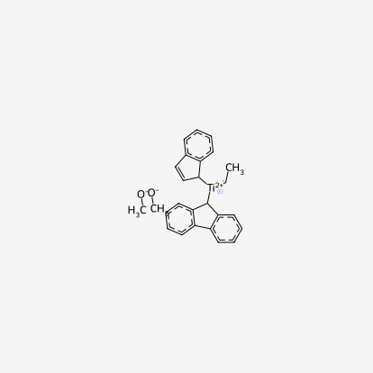 C/[CH]=[Ti+2](\[CH]1C=Cc2ccccc21)[CH]1c2ccccc2-c2ccccc21.C[O-].C[O-]